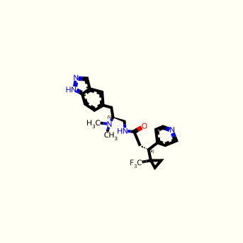 CN(C)[C@H](CNC(=O)C[C@H](c1ccncc1)C1(C(F)(F)F)CC1)Cc1ccc2[nH]ncc2c1